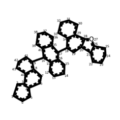 c1ccc2c(c1)ccc1c(-c3c4ccccc4c(-c4cc5c6ccccc6oc5c5ccccc45)c4ccccc34)cccc12